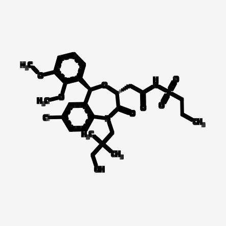 CCCS(=O)(=O)NC(=O)C[C@H]1O[C@H](c2cccc(OC)c2OC)c2cc(Cl)ccc2N(CC(C)(C)CO)C1=O